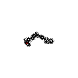 COc1ccc(-c2ccc3cc(C(=O)OCc4ccc(C(=O)C[C@H](C)CCc5ccccn5)cc4)ccc3c2)cc1C12CC3CC(CC(C3)C1)C2